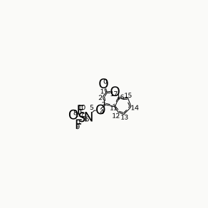 O=c1cc(OCN=S(=O)(F)F)c2ccccc2o1